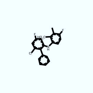 Cc1c(F)ccc(Nc2cc(F)cc(Cl)c2-c2ccccc2)c1C(=O)O